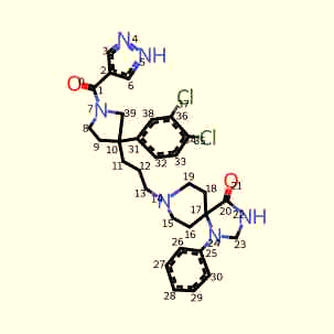 O=C(c1cn[nH]c1)N1CCC(CCCN2CCC3(CC2)C(=O)NCN3c2ccccc2)(c2ccc(Cl)c(Cl)c2)C1